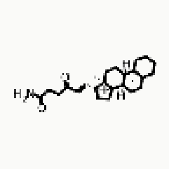 C[C@]12CC[C@H]3[C@@H](CCC4CCCC[C@@]43C)[C@@H]1CC[C@@H]2C=CC(=O)CCC(N)=O